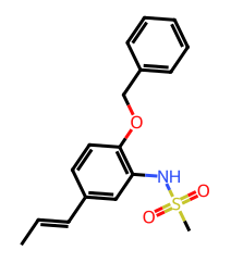 CC=Cc1ccc(OCc2ccccc2)c(NS(C)(=O)=O)c1